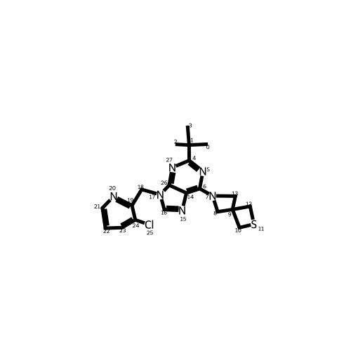 CC(C)(C)c1nc(N2CC3(CSC3)C2)c2ncn(Cc3ncccc3Cl)c2n1